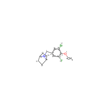 COc1c(F)cc(CN2C3CCC2CC3)cc1Br